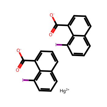 O=C([O-])c1cccc2cccc(I)c12.O=C([O-])c1cccc2cccc(I)c12.[Hg+2]